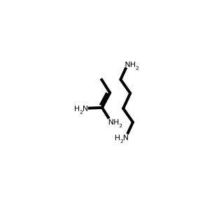 CC=C(N)N.NCCCCN